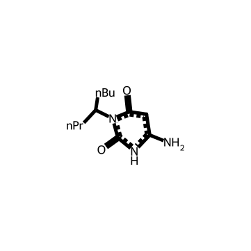 CCCCC(CCC)n1c(=O)cc(N)[nH]c1=O